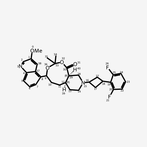 COc1cnc2cccc(C3CC[C@@H]4CCN(C5CC(c6c(F)cccc6F)C5)C[C@@H]4C(=O)OC(C)(C)O3)c2c1